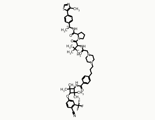 Cc1ncsc1-c1ccc([C@H](C)NC(=O)C2CCCN2C(=O)C(NC(=O)CN2CCN(CCCc3ccc(C(=O)NC4C(C)(C)C(Oc5ccc(C#N)c(C(F)(F)F)c5)C4(C)C)cc3)CC2)C(C)(C)C)cc1